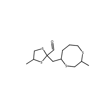 CC1CSC(CC2(C=O)SCC(C)S2)CCCS1